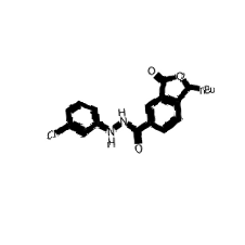 CCCCC1OC(=O)c2cc(C(=O)NNc3cccc(Cl)c3)ccc21